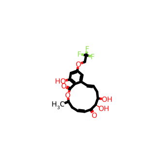 CC1C/C=C\C(=O)[C@@H](O)C(O)C/C=C/c2cc(OCC(F)(F)F)cc(O)c2C(=O)O1